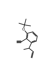 C#Cc1c(OC(C)(C)C)cccc1[C](C)C=C